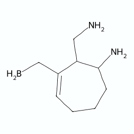 BCC1=CCCCC(N)C1CN